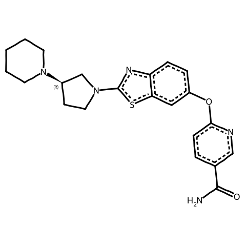 NC(=O)c1ccc(Oc2ccc3nc(N4CC[C@@H](N5CCCCC5)C4)sc3c2)nc1